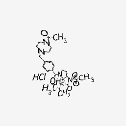 CC(=O)N1CCN(Cc2ccc(C(=O)N3CC=C4[C@H]3[C@@H](C(C)C)C(=O)N4S(C)(=O)=O)cc2)CC1.Cl